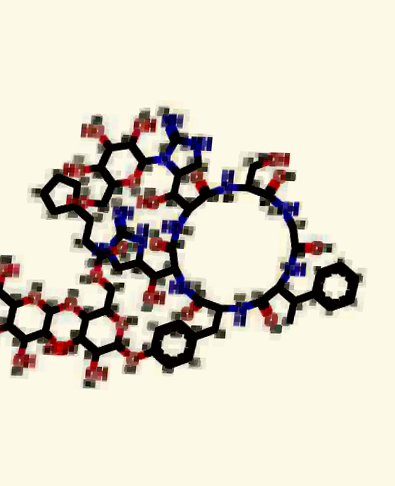 CC(c1ccccc1)C1NC(=O)CNC(=O)C(CO)NC(=O)C(C(O)C2CNC(=N)N2C2OC(CO)C(O)C(O)C2O)NC(=O)C(C(O)C2CNC(=N)N2)NC(=O)C(Cc2ccc(OC3OC(COC(=O)CCC4CCCC4)C(OC4OC(CO)C(O)C(O)C4O)C(O)C3O)cc2)NC1=O